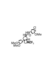 COc1cc(NC(=O)N[C@@H]2CC[C@@]3(c4ccc(OC)c(OC)c4)CCN(C)[C@H]3C2)cc(Cl)n1.Cl